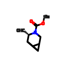 CC(C)(C)OC(=O)N1CC2CC2C[C@@H]1C=O